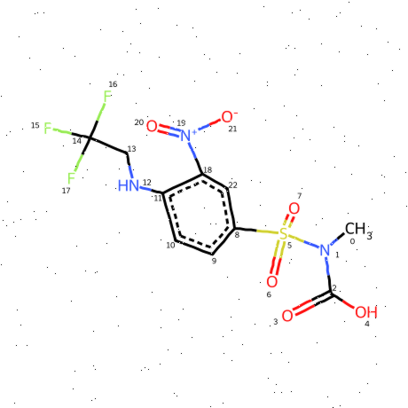 CN(C(=O)O)S(=O)(=O)c1ccc(NCC(F)(F)F)c([N+](=O)[O-])c1